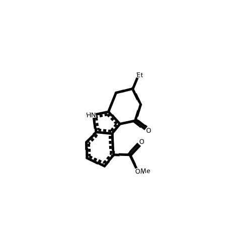 CCC1CC(=O)c2c([nH]c3cccc(C(=O)OC)c23)C1